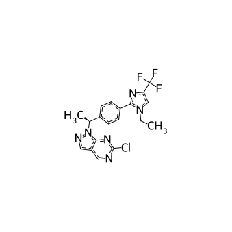 CCn1cc(C(F)(F)F)nc1-c1ccc([C@H](C)n2ncc3cnc(Cl)nc32)cc1